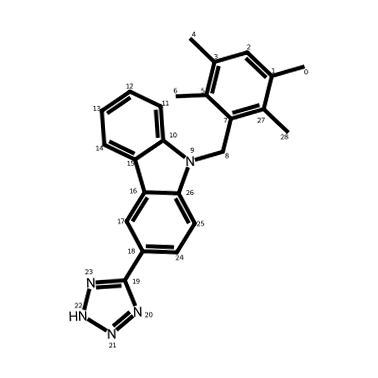 Cc1cc(C)c(C)c(Cn2c3ccccc3c3cc(-c4nn[nH]n4)ccc32)c1C